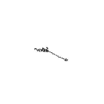 CC(C)CN1CCN(c2ccc(C(=O)NCCCCCCCCCCCCCCCCCCBr)cn2)CC1